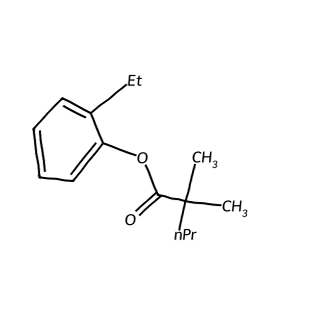 CCCC(C)(C)C(=O)Oc1ccccc1CC